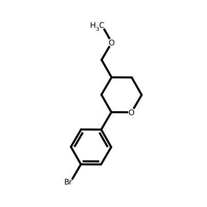 COCC1CCOC(c2ccc(Br)cc2)C1